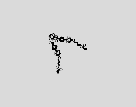 C=CC(=O)OCCCCOc1cnc(-c2ccc(C(=O)O[C@@H]3OCCO[C@H]3OC(=O)c3ccc(-c4ncc(OCCCCOC(=O)C=C)cn4)cc3)cc2)nc1